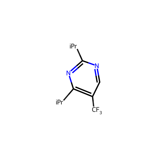 CC(C)c1ncc(C(F)(F)F)c(C(C)C)n1